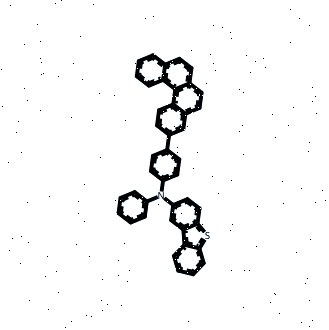 c1ccc(N(c2ccc(-c3ccc4c(ccc5ccc6ccccc6c54)c3)cc2)c2ccc3sc4ccccc4c3c2)cc1